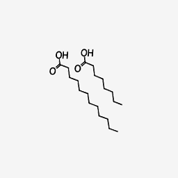 CCCCCCCC(=O)O.CCCCCCCCCCCC(=O)O